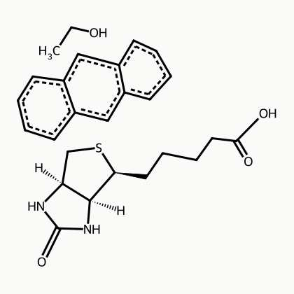 CCO.O=C(O)CCCC[C@@H]1SC[C@@H]2NC(=O)N[C@@H]21.c1ccc2cc3ccccc3cc2c1